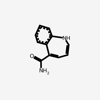 NC(=O)C1=CC=CNc2ccccc21